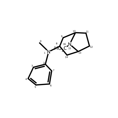 CN(c1ccccc1)C1CC2CCC(C1)N2C(=O)O